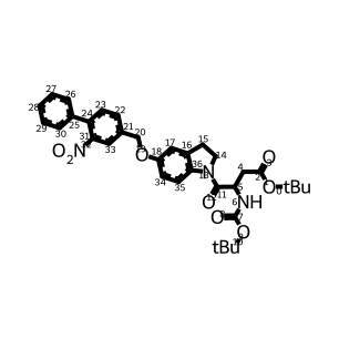 CC(C)(C)OC(=O)CC(NC(=O)OC(C)(C)C)C(=O)N1CCc2cc(OCc3ccc(-c4ccccc4)c([N+](=O)[O-])c3)ccc21